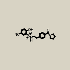 N#Cc1ccc(O)c(S(=O)(=O)NCCc2ccc(C(=O)N3CCCC3)cc2)c1